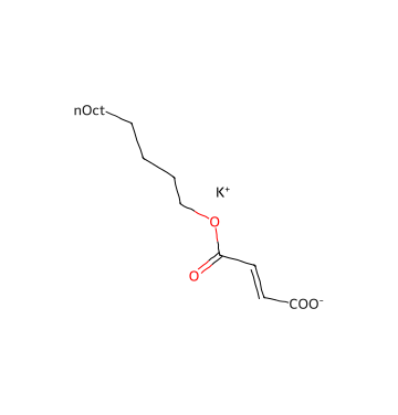 CCCCCCCCCCCCOC(=O)/C=C/C(=O)[O-].[K+]